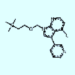 C[Si](C)(C)CCOCn1cc(-c2cccnc2)c2c(Cl)ccnc21